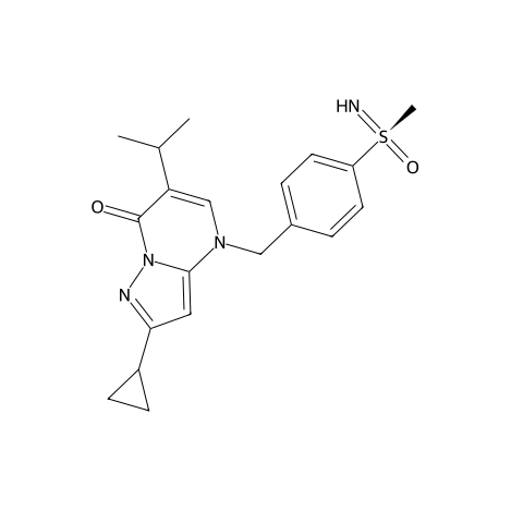 CC(C)c1cn(Cc2ccc([S@](C)(=N)=O)cc2)c2cc(C3CC3)nn2c1=O